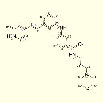 C=C/C=C(\C=C/N)/C=C/c1cccc(Nc2cccc(C(=O)NCCCN3CCCCC3)c2)c1